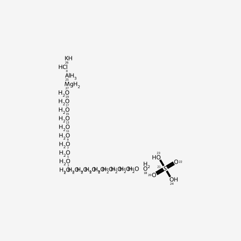 Cl.O.O.O.O.O.O.O.O.O.O.O.O.O.O.O.O.O.O.O.O=S(=O)(O)O.[AlH3].[KH].[MgH2]